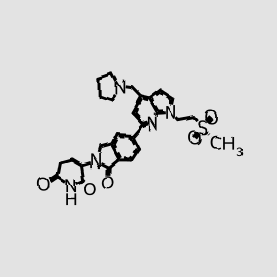 CS(=O)(=O)CCn1ccc2c(CN3CCCC3)cc(-c3ccc4c(c3)CN(C3CCC(=O)NC3=O)C4=O)nc21